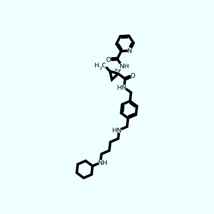 CC1C[C@]1(NC(=O)c1ccccn1)C(=O)NCc1ccc(CNCCCCNC2CCCCC2)cc1